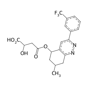 CC1Cc2nnc(-c3cccc(C(F)(F)F)c3)cc2C(OC(=O)CC(O)C(=O)O)C1